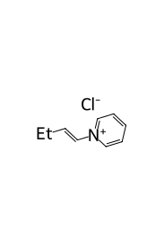 CCC=C[n+]1ccccc1.[Cl-]